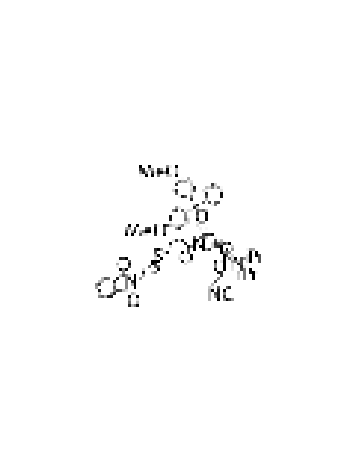 [C-]#[N+]CCOP(O[C@@H]1C[C@@H](COC(c2ccccc2)(c2ccc(OC)cc2)c2ccc(OC)cc2)N(C(=O)CCCSSCCN2C(=O)c3ccccc3C2=O)C1)N(C(C)C)C(C)C